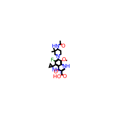 COc1c(N2CCC(NC(C)=O)C(C)(C)C2)c(F)c(C2(N)CC2)c2c(=O)c(C(=O)O)c[nH]c12